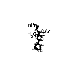 CCCC=CC(OC(C)=O)C1(C)N=C(c2ccccc2)OC1=O